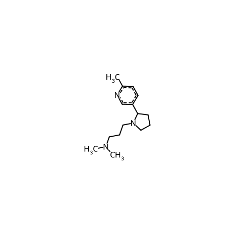 Cc1ccc(C2CCCN2CCCN(C)C)cn1